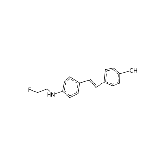 Oc1ccc(/C=C/c2ccc(NCCF)cc2)cc1